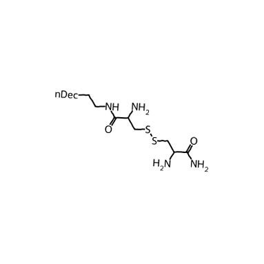 CCCCCCCCCCCCNC(=O)C(N)CSSCC(N)C(N)=O